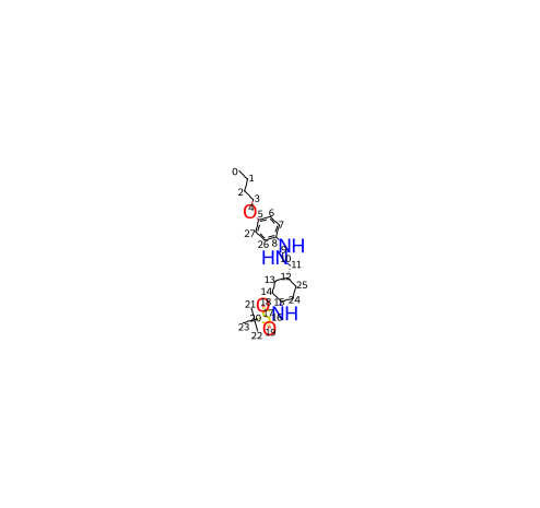 CCCCOc1ccc(NNC[C@H]2CC[C@H](NS(=O)(=O)C(C)(C)C)CC2)cc1